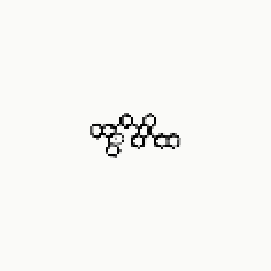 c1cc(-c2c3ccccc3c(-c3ccc4ccccc4c3)c3ccccc23)cc(-c2cc3ccccc3c3c2oc2ccccc23)c1